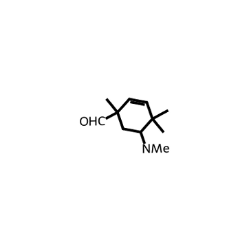 CNC1CC(C)(C=O)C=CC1(C)C